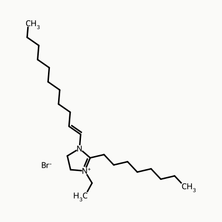 CCCCCCCCCC=CN1CC[N+](CC)=C1CCCCCCCC.[Br-]